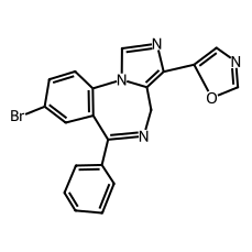 Brc1ccc2c(c1)C(c1ccccc1)=NCc1c(-c3cnco3)ncn1-2